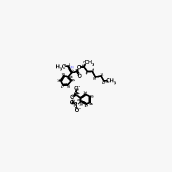 C/C=C(/C(=O)OC(C)CCCCCC)c1ccccc1.O=[N+]([O-])c1ccccc1[N+](=O)[O-]